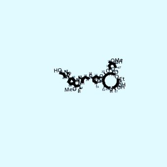 CC[C@H]1OC(=O)[C@H](C)[C@@H](O[C@H]2C[C@@](C)(OC)[C@@H](O)[C@H](C)O2)[C@H](C)[C@@H](O[C@H]2C[C@@H](N(C)CCc3cn([C@H](CF)[C@H](OC)c4ccc(-n5cc(CO)nn5)cc4)nn3)C[C@@H](C)O2)[C@](C)(O)C[C@@H](C)CN(C)[C@H](C)[C@@H](O)[C@]1(C)O